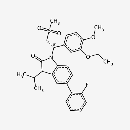 CCOc1cc([C@@H](CS(C)(=O)=O)N2C(=O)C(C(C)C)c3cc(-c4ccccc4F)ccc32)ccc1OC